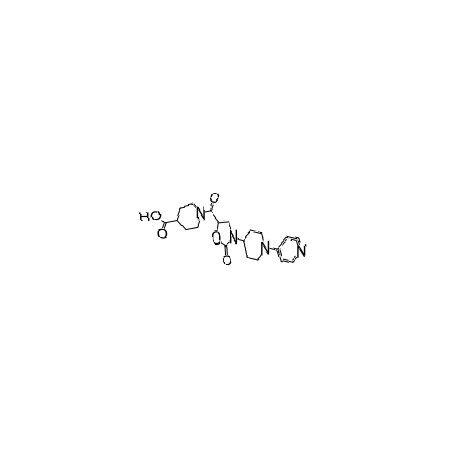 O=C(O)C1CCN(C(=O)C2CN(C3CCN(c4ccncc4)CC3)C(=O)O2)CC1